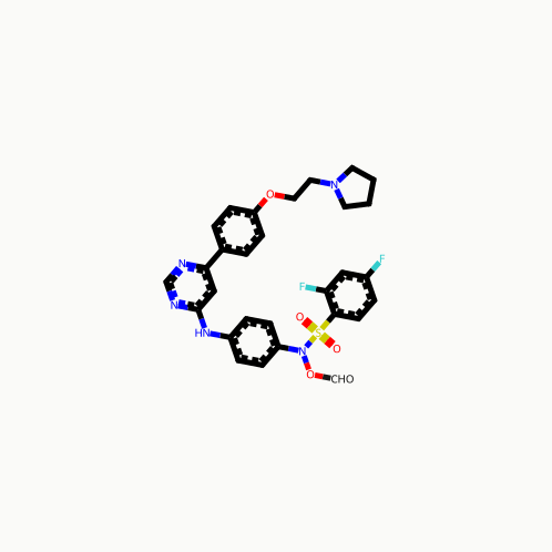 O=CON(c1ccc(Nc2cc(-c3ccc(OCCN4CCCC4)cc3)ncn2)cc1)S(=O)(=O)c1ccc(F)cc1F